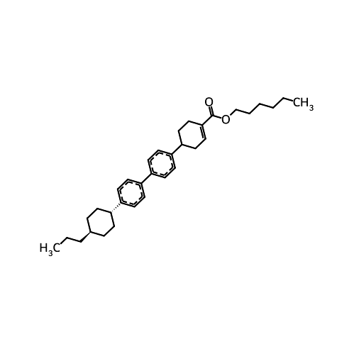 CCCCCCOC(=O)C1=CCC(c2ccc(-c3ccc([C@H]4CC[C@H](CCC)CC4)cc3)cc2)CC1